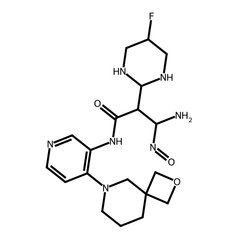 NC(N=O)C(C(=O)Nc1cnccc1N1CCCC2(COC2)C1)C1NCC(F)CN1